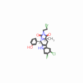 C[C@@]12Cc3c([nH]c4cc(F)c(Cl)cc34)[C@@H](c3cccc(O)c3)N1C(=O)N(CCBr)C2=O